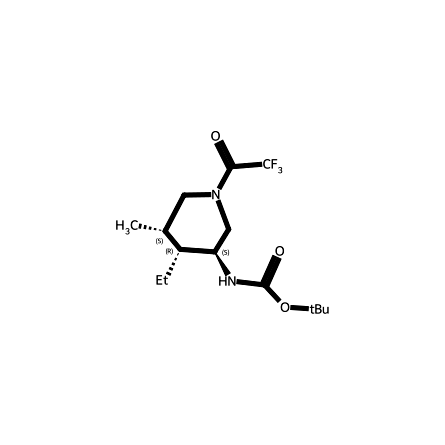 CC[C@@H]1[C@H](C)CN(C(=O)C(F)(F)F)C[C@H]1NC(=O)OC(C)(C)C